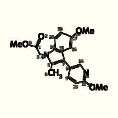 COC(=O)Cn1c(C)c(-c2ccc(OC)nc2)c2cc(OC)ccc21